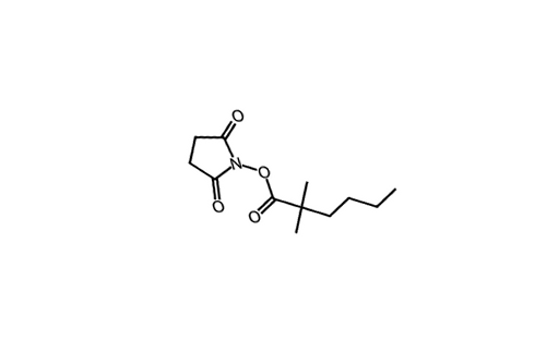 CCCCC(C)(C)C(=O)ON1C(=O)CCC1=O